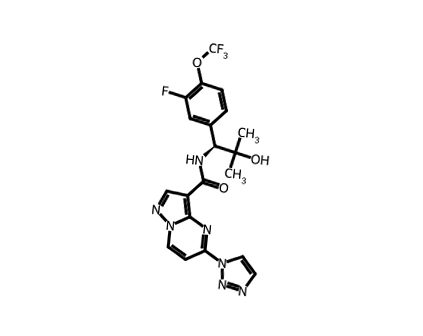 CC(C)(O)[C@@H](NC(=O)c1cnn2ccc(-n3ccnn3)nc12)c1ccc(OC(F)(F)F)c(F)c1